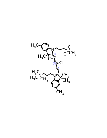 Cc1ccc2c(c1)C(C)(C)C(/C=C/C(Cl)=C/C=C1/N(CCC[N+](C)(C)C)c3ccc(C)cc3C1(C)C)=[N+]2CCC[N+](C)(C)C